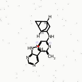 C=C(/N=C(\C=C/C)NC1C[C@@H]2CC[C@H]1C1CC12)c1n[nH]c2ncncc12